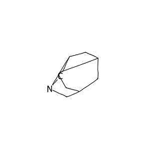 C1CC2CC3CC1CN(C2)C3